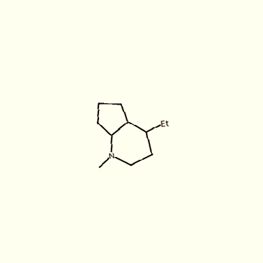 CCC1CCN(C)C2CCCC12